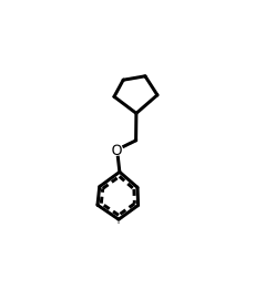 [c]1ccc(OCC2CCCC2)cc1